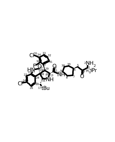 CC(C)[C@@H](N)C(=O)C[C@H]1CC[C@H](NC(=O)[C@@H]2N[C@H](CC(C)(C)C)[C@]3(C(=O)Nc4cc(Cl)ccc43)[C@H]2c2cccc(Cl)c2F)CC1